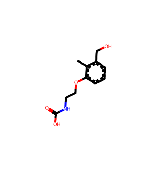 Cc1c(CO)cccc1OCCNC(=O)O